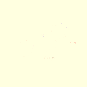 O=C(O)c1cc2c(O)nncc2nc1N1CCCCC1